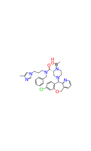 CB(O)N1CCN([C@@H]2c3ccc(Cl)cc3OCc3cccnc32)C[C@@H]1C(=O)N(CCCn1cnc(C)c1)Cc1ccccc1